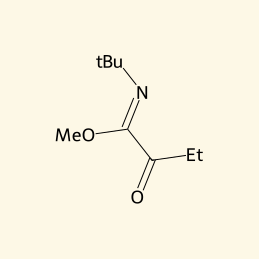 CCC(=O)C(=NC(C)(C)C)OC